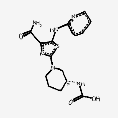 NC(=O)c1nc(N2CCC[C@@H](NC(=O)O)C2)sc1Nc1ccccn1